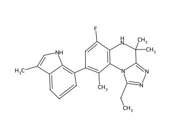 CCc1nnc2n1-c1c(C)c(-c3cccc4c(C)c[nH]c34)cc(F)c1NC2(C)C